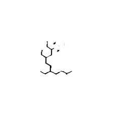 CCCCC(CC)CCC(CC)CC(CC)S(=O)(=O)O